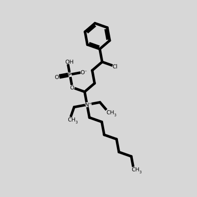 CCCCCCC[N+](CC)(CC)C(CCC(Cl)c1ccccc1)OP(=O)([O-])O